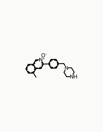 Cc1cccc2c[n+]([O-])c(-c3ccc(CN4CCNCC4)cc3)cc12